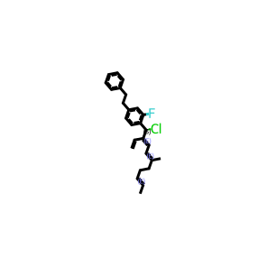 C=C/C(=C\C=C(/C)CC/C=C/C)[C@H](Cl)c1ccc(CCc2ccccc2)cc1F